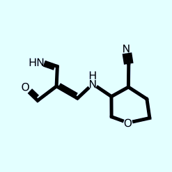 N#CC1CCOCC1N/C=C(\C=N)C=O